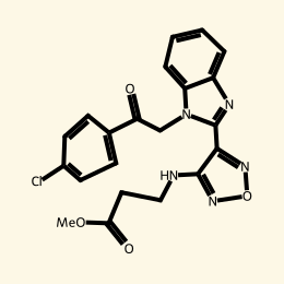 COC(=O)CCNc1nonc1-c1nc2ccccc2n1CC(=O)c1ccc(Cl)cc1